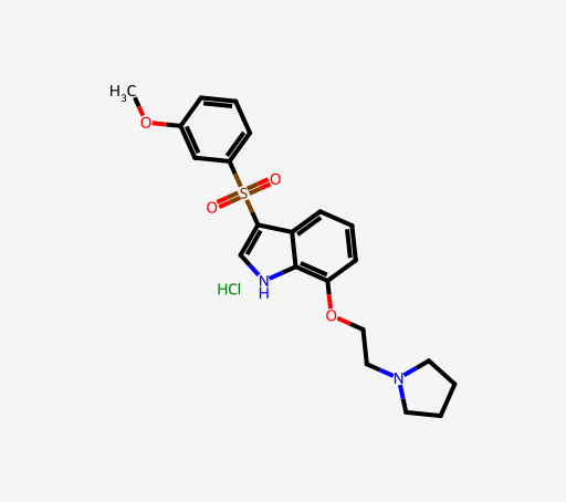 COc1cccc(S(=O)(=O)c2c[nH]c3c(OCCN4CCCC4)cccc23)c1.Cl